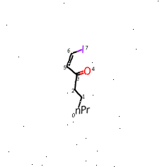 CCCCCC(=O)/C=C\I